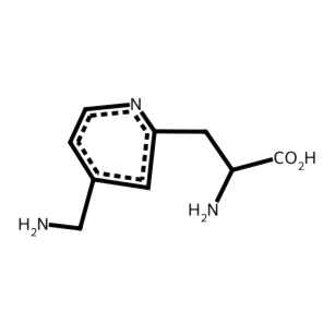 NCc1ccnc(CC(N)C(=O)O)c1